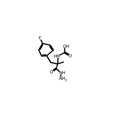 CC(Cc1ccc(F)cc1)(NC(=O)O)C(=O)NN